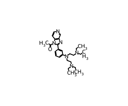 CCN(CC)CCN(CCN(CC)CC)c1cccc(-c2nc3cnccc3n2C(C)=O)c1